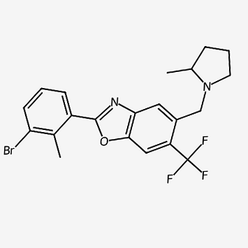 Cc1c(Br)cccc1-c1nc2cc(CN3CCCC3C)c(C(F)(F)F)cc2o1